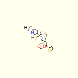 Cc1ccc(C(C)(C)N2CCC(CCc3cccs3)(C3COCCO3)C2)cn1